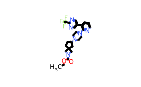 CCOC(=O)N1CC2(CC[C@@H](N3CCN(c4ncccc4-c4cnc(C(F)(F)F)nc4)CC3)C2)C1